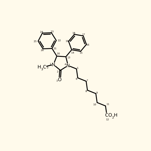 CN1C(=O)N(CCCCCCCC(=O)O)C(c2ccccc2)C1c1ccccc1